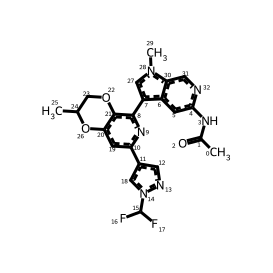 CC(=O)Nc1cc2c(-c3nc(-c4cnn(C(F)F)c4)cc4c3OCC(C)O4)cn(C)c2cn1